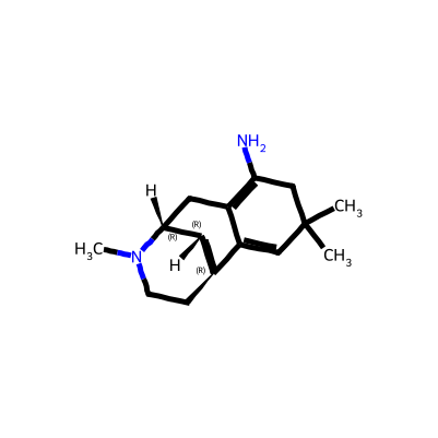 CN1CC[C@]23CCCC[C@H]2[C@H]1CC1=C(N)CC(C)(C)C=C13